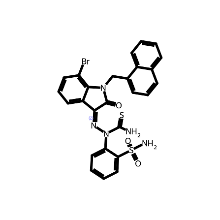 NC(=S)N(/N=C1\C(=O)N(Cc2cccc3ccccc23)c2c(Br)cccc21)c1ccccc1S(N)(=O)=O